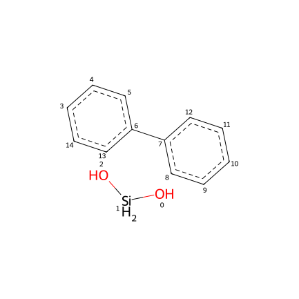 O[SiH2]O.c1ccc(-c2ccccc2)cc1